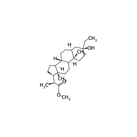 CC[C@]1(O)CC[C@@]2(C)[C@@H](CC[C@@H]3[C@@H]2CC[C@]2(C)[C@@H]([C@H](C)C(=O)OC)CC[C@@H]32)C1